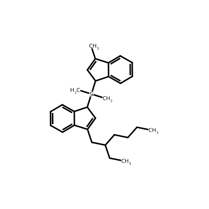 CCCCC(CC)CC1=CC([Si](C)(C)C2C=C(C)c3ccccc32)c2ccccc21